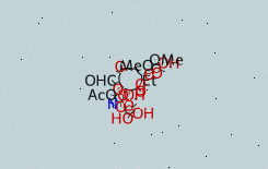 CC[C@H]1OC(=O)C[C@@H](O)[C@H](C)[C@@H](O[C@@H]2O[C@H](C)[C@@H](O[C@H]3C[C@@](C)(O)[C@@H](O)[C@H](C)O3)[C@H](N(C)C)[C@H]2OC(C)=O)[C@@H](CC=O)C[C@@H](C)C(=O)/C=C/C(C)=C/[C@@H]1CO[C@@H]1O[C@H](C)[C@@H](O)[C@@H](OC)[C@H]1OC